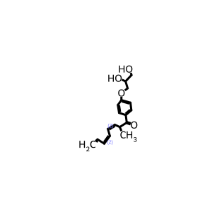 C=C/C=C\C=C/C(C)C(=O)c1ccc(OCC(O)CO)cc1